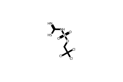 N=C(S)NS(=O)(=O)OCC(Cl)(Cl)Cl